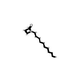 CCCCCCCCCCCN1CCC1=O